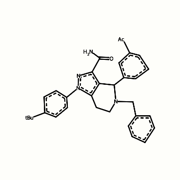 CC(=O)c1cccc(C2c3c(C(N)=O)nn(-c4ccc(C(C)(C)C)cc4)c3CCN2Cc2ccccc2)c1